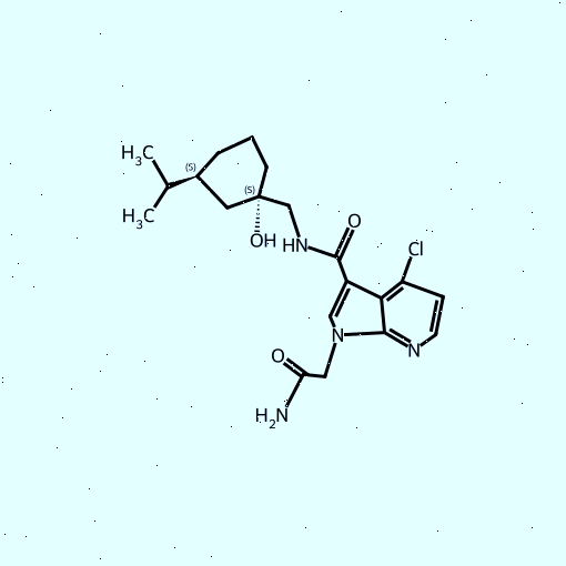 CC(C)[C@H]1CCC[C@@](O)(CNC(=O)c2cn(CC(N)=O)c3nccc(Cl)c23)C1